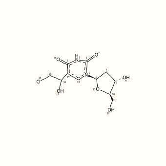 O=c1[nH]c(=O)n([C@H]2C[C@H](O)[C@@H](CO)O2)cc1C(O)CCl